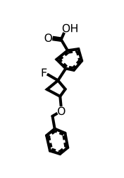 O=C(O)c1cccc(C2(F)CC(OCc3ccccc3)C2)c1